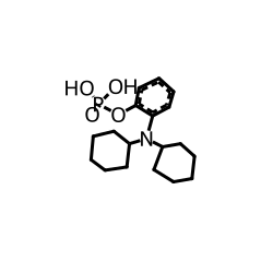 O=P(O)(O)Oc1ccccc1N(C1CCCCC1)C1CCCCC1